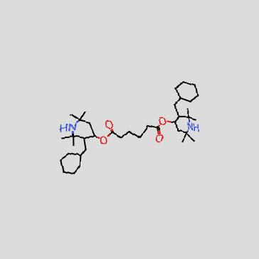 CC1(C)CC(OC(=O)CCCCC(=O)OC2CC(C)(C)NC(C)(C)C2CC2CCCCC2)C(CC2CCCCC2)C(C)(C)N1